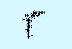 CCNCCC(=O)OCC(=O)OCOP(=O)(O)OC[C@H]1O[C@@H](n2ccc(N)nc2=O)C(F)(F)[C@@H]1O